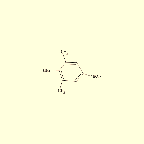 COc1cc(C(F)(F)F)c(C(C)(C)C)c(C(F)(F)F)c1